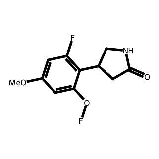 COc1cc(F)c(C2CNC(=O)C2)c(OF)c1